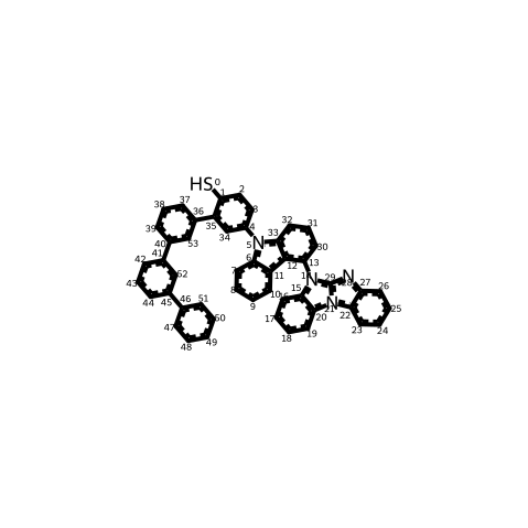 Sc1ccc(-n2c3ccccc3c3c(-n4c5ccccc5n5c6ccccc6nc45)cccc32)cc1-c1cccc(-c2cccc(-c3ccccc3)c2)c1